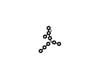 c1ccc(-c2ccc(-c3ccc(N(c4ccc(-c5ccccc5)cc4)c4ccc(-c5cc6sc7ccccc7c6cc5-c5ccccc5)cc4)cc3)cc2)cc1